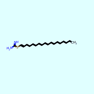 CCCCCCCCCCCCCCCC/C=C/SC(=N)N